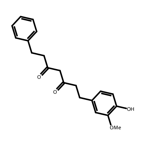 COc1cc(CCC(=O)CC(=O)CCc2ccccc2)ccc1O